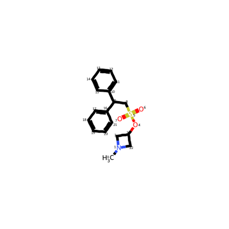 CN1CC(OS(=O)(=O)CC(c2ccccc2)c2ccccc2)C1